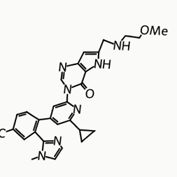 COCCNCc1cc2ncn(-c3cc(-c4ccc(C#N)cc4-c4nccn4C)cc(C4CC4)n3)c(=O)c2[nH]1